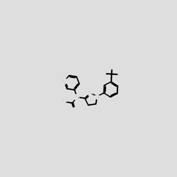 NC(=O)N(C1=NN(c2cccc(C(F)(F)F)c2)CC1)c1cccnc1